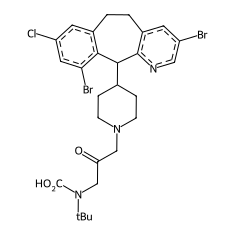 CC(C)(C)N(CC(=O)CN1CCC(C2c3ncc(Br)cc3CCc3cc(Cl)cc(Br)c32)CC1)C(=O)O